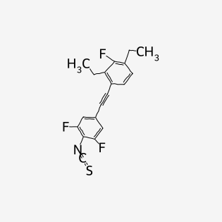 CCc1ccc(C#Cc2cc(F)c(N=C=S)c(F)c2)c(CC)c1F